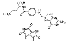 Nc1nc2ncc(CNc3ccc(C(=O)NC(CCC(=O)O)C(=O)O)cc3)nc2c(=O)[nH]1.O=c1[nH]c(=O)c2[nH]c(=O)[nH]c2[nH]1